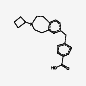 O=C(O)c1ccc(Cc2ccc3c(c2)CCN(C2CCC2)CC3)cc1